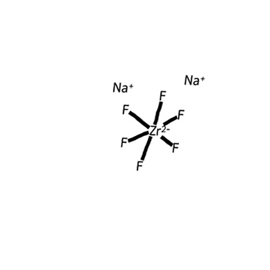 [F][Zr-2]([F])([F])([F])([F])[F].[Na+].[Na+]